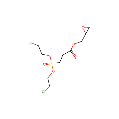 O=C(CCP(=O)(OCCCl)OCCCl)OCC1CO1